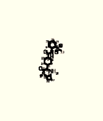 CN(C(=O)[C@@H](N)C1CCC(C(=O)Nc2ccccc2S(C)(=O)=O)CC1)C1CCC1